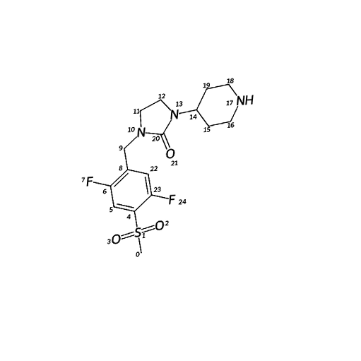 CS(=O)(=O)c1cc(F)c(CN2CCN(C3CCNCC3)C2=O)cc1F